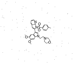 COc1cc2c(-c3cc4cccnc4n3S(=O)(=O)c3ccc(C)cc3)cn(CCN3CCOCC3)c2cc1OC